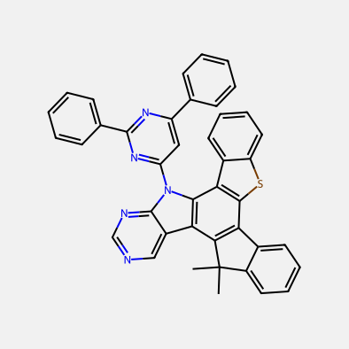 CC1(C)c2ccccc2-c2c1c1c3cncnc3n(-c3cc(-c4ccccc4)nc(-c4ccccc4)n3)c1c1c2sc2ccccc21